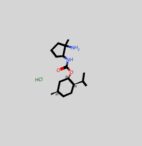 CC(C)[C@H]1CC[C@@H](C)C[C@H]1OC(=O)NC1CCCC1(C)N.Cl